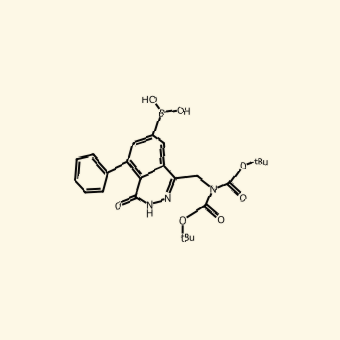 CC(C)(C)OC(=O)N(Cc1n[nH]c(=O)c2c(-c3ccccc3)cc(B(O)O)cc12)C(=O)OC(C)(C)C